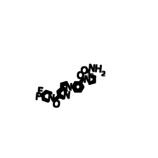 NC(=O)[C@@H]1CCCN1C(=O)c1cccc(-n2ccc3cc(C(=O)N4CCC(F)(F)CC4)cnc32)c1